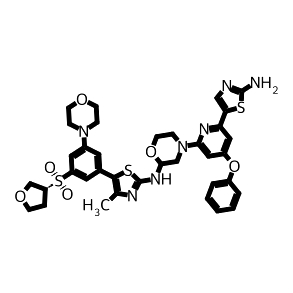 Cc1nc(NC2CN(c3cc(Oc4ccccc4)cc(-c4cnc(N)s4)n3)CCO2)sc1-c1cc(N2CCOCC2)cc(S(=O)(=O)[C@@H]2CCOC2)c1